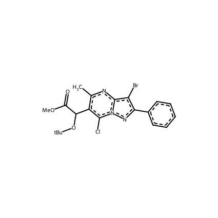 COC(=O)C(OC(C)(C)C)c1c(C)nc2c(Br)c(-c3ccccc3)nn2c1Cl